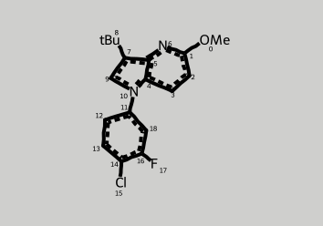 COc1ccc2c(n1)c(C(C)(C)C)cn2-c1ccc(Cl)c(F)c1